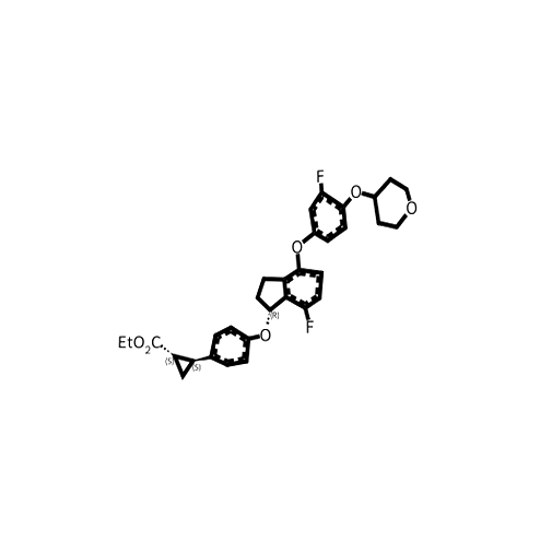 CCOC(=O)[C@H]1C[C@@H]1c1ccc(O[C@@H]2CCc3c(Oc4ccc(OC5CCOCC5)c(F)c4)ccc(F)c32)cc1